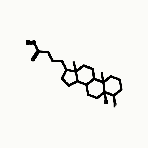 COC(=O)CCCC1CCC2C3CC[C@@H]4C(F)CCCC4(C)C3CCC12C